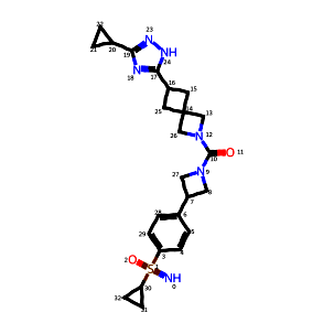 N=S(=O)(c1ccc(C2CN(C(=O)N3CC4(CC(c5nc(C6CC6)n[nH]5)C4)C3)C2)cc1)C1CC1